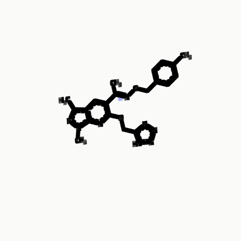 C/C(=N\OCc1ccc(C)cc1)c1cc2c(C)nn(C)c2nc1OCc1nnn[nH]1